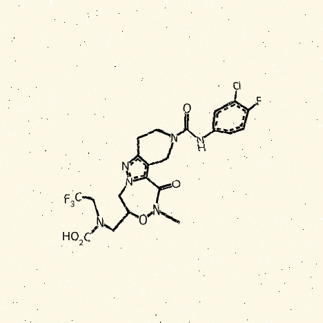 CN1OC(CN(CC(F)(F)F)C(=O)O)Cn2nc3c(c2C1=O)CN(C(=O)Nc1ccc(F)c(Cl)c1)CC3